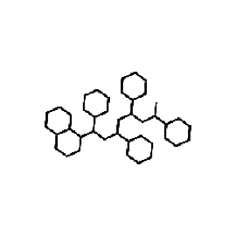 CC(CC(CC(CC(C1CCCCC1)C1CCCC2CCCCC21)C1CCCCC1)C1CCCCC1)C1CCCCC1